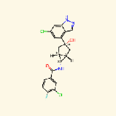 O=C(N[C@@H]1[C@@H]2C[C@@](O)(c3cc(Cl)cc4[nH]ncc34)C[C@@H]21)c1ccc(F)c(Cl)c1